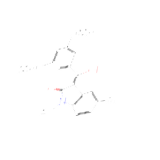 COc1cc(OC)cc(C(O)=C2C(=O)N(C(C)=O)c3ccc(C(C)=O)cc32)c1